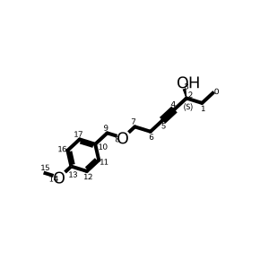 CC[C@H](O)C#CCCOCc1ccc(OC)cc1